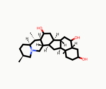 C[C@H]1CC[C@H]2[C@H](C)[C@H]3C(O)C[C@@H]4[C@@H](C[C@H]5[C@H]4CC(O)[C@@H]4CC(O)CC[C@@]45C)[C@@H]3CN2C1